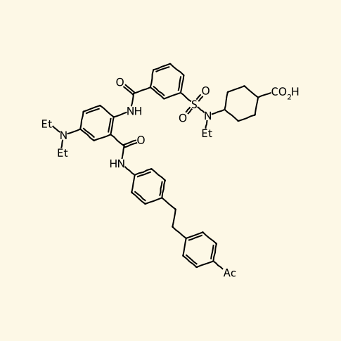 CCN(CC)c1ccc(NC(=O)c2cccc(S(=O)(=O)N(CC)C3CCC(C(=O)O)CC3)c2)c(C(=O)Nc2ccc(CCc3ccc(C(C)=O)cc3)cc2)c1